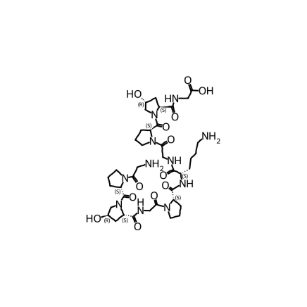 NCCCC[C@H](NC(=O)[C@@H]1CCCN1C(=O)CNC(=O)[C@@H]1C[C@@H](O)CN1C(=O)[C@@H]1CCCN1C(=O)CN)C(=O)NCC(=O)N1CCC[C@H]1C(=O)N1C[C@H](O)C[C@H]1C(=O)NCC(=O)O